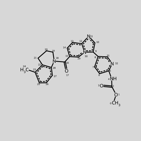 COC(=O)Nc1ccc(-c2cnc3ccc(C(=O)N4CCCc5c(C)cccc54)cn23)cn1